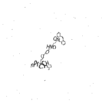 CCCC(C)(C)CCOCCOCCNC(=O)CCC(=O)N1Cc2ccccc2C#Cc2ccccc21